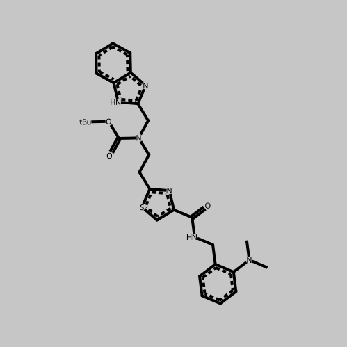 CN(C)c1ccccc1CNC(=O)c1csc(CCN(Cc2nc3ccccc3[nH]2)C(=O)OC(C)(C)C)n1